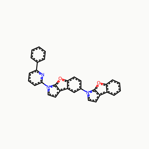 c1ccc(-c2cccc(-n3ccc4c5cc(-n6ccc7c8ccccc8oc76)ccc5oc43)n2)cc1